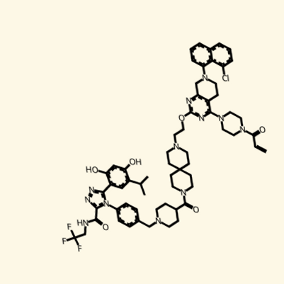 C=CC(=O)N1CCN(c2nc(OCCN3CCC4(CC3)CCN(C(=O)C3CCN(Cc5ccc(-n6c(C(=O)NCC(F)(F)F)nnc6-c6cc(C(C)C)c(O)cc6O)cc5)CC3)CC4)nc3c2CCN(c2cccc4cccc(Cl)c24)C3)CC1